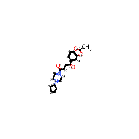 C[C@@H]1Oc2ccc(C(=O)CCC(=O)N3CCN(C4CCCC4)CC3)cc2O1